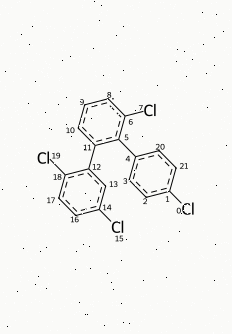 Clc1ccc(-c2c(Cl)[c]ccc2-c2cc(Cl)ccc2Cl)cc1